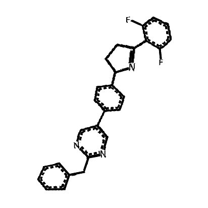 Fc1cccc(F)c1C1=NC(c2ccc(-c3cnc(Cc4ccccc4)nc3)cc2)CC1